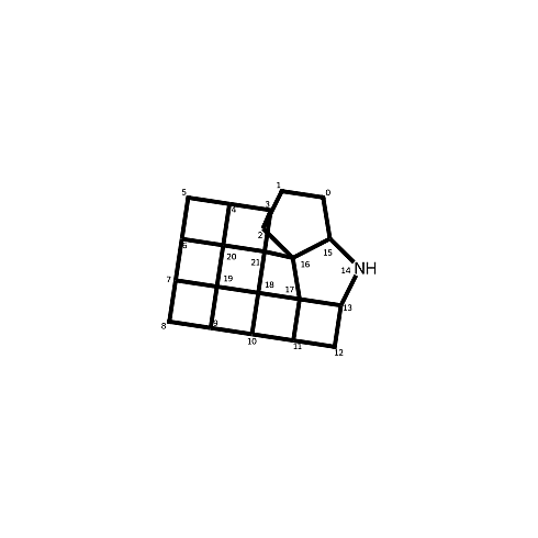 C1CC2C3C4CC5C6CC7C8C9CC%10NC1C21C%109C82C67C54C312